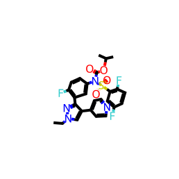 CCn1cc(-c2ccncc2)c(-c2cc(N(C(=O)OC(C)C)S(=O)(=O)c3cc(F)ccc3F)ccc2F)n1